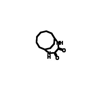 O=C1NC2CCCCCCC(CC2)NC1=O